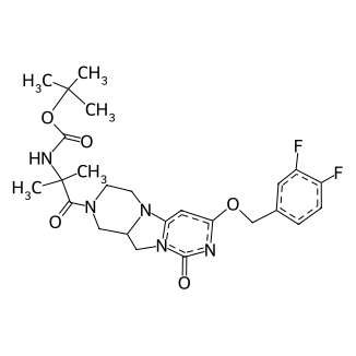 CC(C)(C)OC(=O)NC(C)(C)C(=O)N1CCN2c3cc(OCc4ccc(F)c(F)c4)nc(=O)n3CC2C1